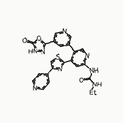 CCNC(=O)Nc1cc(-c2nc(-c3ccncc3)cs2)c(-c2cncc(-c3n[nH]c(=O)o3)c2)cn1